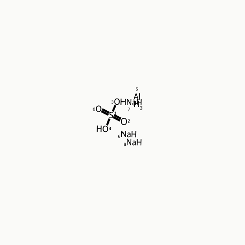 O=S(=O)(O)O.[AlH3].[NaH].[NaH].[NaH]